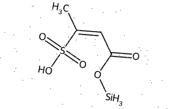 C/C(=C/C(=O)O[SiH3])S(=O)(=O)O